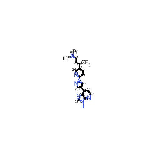 CC(C)N(CCC(c1ccc(-n2cc(-c3ccnc4[nH]cnc34)cn2)nc1)C(F)(F)F)C(C)C